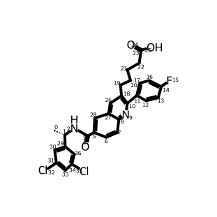 C[C@H](NC(=O)c1ccc2nc(-c3ccc(F)cc3)c(CCCCC(=O)O)cc2c1)c1cc(Cl)cc(Cl)c1